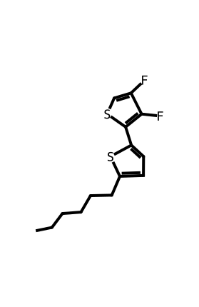 CCCCCCc1ccc(-c2scc(F)c2F)s1